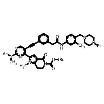 CCN1CCN(Cc2ccc(NC(=O)Cc3cccc(C#Cc4cnc(N(C)C(C)=O)nc4-c4cc5c(n4C)CCN(C(=O)OC(C)(C)C)C5=O)c3)cc2C(F)(F)F)CC1